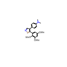 COc1cc(OC)c(OC)c(-c2sncc2-c2ccc(N(C)C)cc2)c1